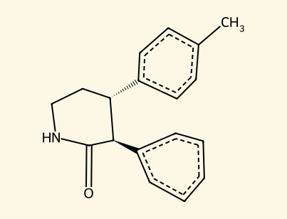 Cc1ccc([C@H]2CCNC(=O)[C@@H]2c2ccccc2)cc1